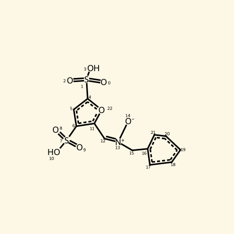 O=S(=O)(O)c1cc(S(=O)(=O)O)c(C=[N+]([O-])Cc2ccccc2)o1